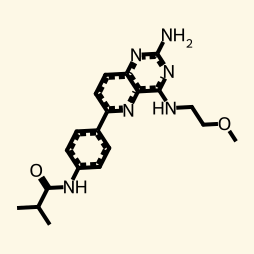 COCCNc1nc(N)nc2ccc(-c3ccc(NC(=O)C(C)C)cc3)nc12